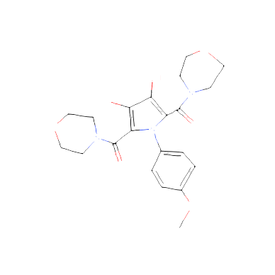 COc1ccc(-n2c(C(=O)N3CCOCC3)c(O)c(O)c2C(=O)N2CCOCC2)cc1